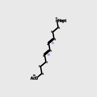 CCCCCCCCC/C=C/C=C/CCCOC(C)=O